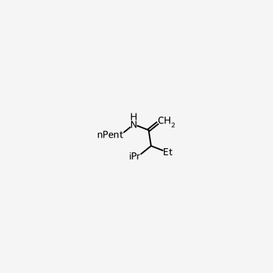 C=C(NCCCCC)C(CC)C(C)C